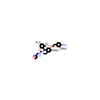 COc1cc(CCOc2cc3c(cc2OC)CCN(C(=O)NCc2ccon2)C3c2ccc(C)cc2C)ccc1N